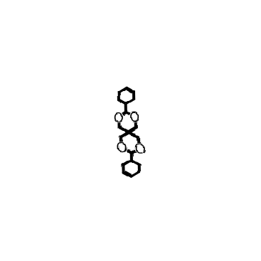 C1=CCC(C2OCC3(CO2)COC(C2CC=CCC2)OC3)CC1